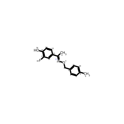 C/C(=N\OCc1ccc(C)cc1)c1ccc(O)c(F)c1